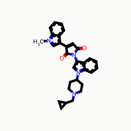 Cn1cc(C2=CC(=O)N(c3cn(C4CCN(CC5CC5)CC4)c4ccccc34)C2=O)c2ccccc21